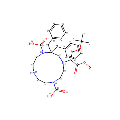 COC(=O)C(COC(C)(C)C)N1CCN(C(=O)O)CCNCCN(C(=O)O)C(Cc2ccccc2)(Cc2ccccc2)C1